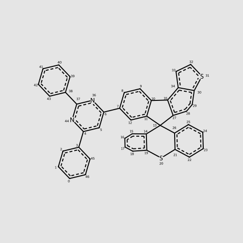 c1ccc(-c2cc(-c3ccc4c(c3)C3(c5ccccc5Sc5ccccc53)c3ccc5sccc5c3-4)nc(-c3ccccc3)n2)cc1